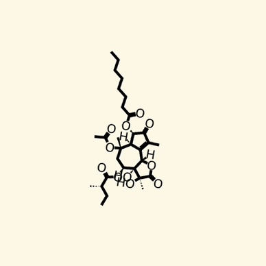 CCCCCCCC(=O)O[C@@H]1C(=O)C(C)=C2[C@H]1[C@@](C)(OC(C)=O)C[C@H](OC(=O)[C@@H](C)CC)[C@@]1(O)[C@H]2OC(=O)[C@@]1(C)O